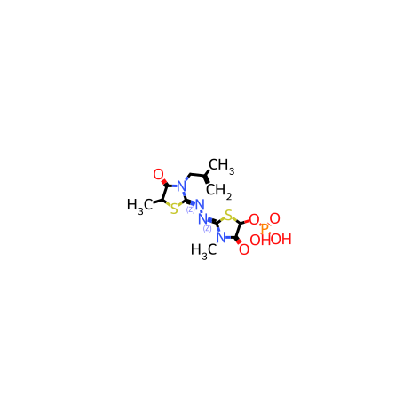 C=C(C)CN1C(=O)C(C)S/C1=N\N=C1/SC(OP(=O)(O)O)C(=O)N1C